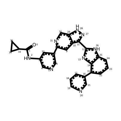 O=C(Nc1cncc(-c2cc3c(-c4nc5c(-c6cccnc6)cccc5[nH]4)n[nH]c3cn2)c1)C1CC1